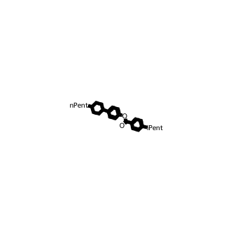 CCCCCC1CCC(c2ccc(OC(=O)c3ccc(C(C)CCC)cc3)cc2)CC1